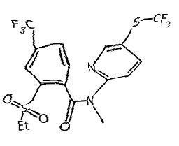 CCS(=O)(=O)c1cc(C(F)(F)F)ccc1C(=O)N(C)c1ccc(SC(F)(F)F)cn1